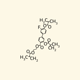 C=C(C)C(=O)OCCOC(=O)c1ccc(-c2ccc(OC(=O)C(=C)C)c(F)c2)cc1OC(=O)C(=C)C